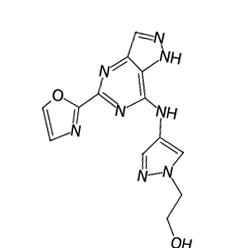 OCCn1cc(Nc2nc(-c3ncco3)nc3cn[nH]c23)cn1